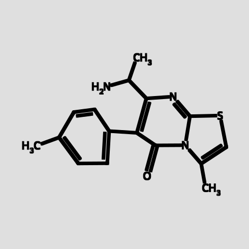 Cc1ccc(-c2c(C(C)N)nc3scc(C)n3c2=O)cc1